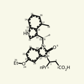 CCCC(CC(=O)O)n1c(=O)n([C@@H](C)c2c[nH]c3cccc(C)c23)c2ccc(OCC)cc21